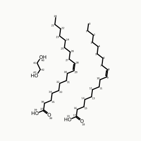 CCCCCCCC/C=C\CCCCCCCC(=O)O.CCCCCCCC/C=C\CCCCCCCC(=O)O.OCCO